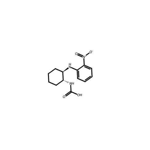 O=C(O)N[C@@H]1CCCC[C@H]1Nc1ccccc1[N+](=O)[O-]